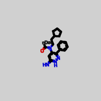 CCCCCCCCCCC(=O)N(CCC1CCCC1)c1cc(=N)[nH]nc1-c1ccccc1